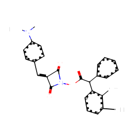 Cc1cccc(C(C(=O)ON2C(=O)C(=Cc3ccc(N(C)C)cc3)C2=O)c2ccccc2)c1C